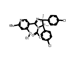 CCOc1cc(C(C)(C)C)ncc1C1=N[C@@](C)(c2ccc(Cl)cc2)[C@@](C)(c2ccc(Cl)cc2)N1C(=O)Cl